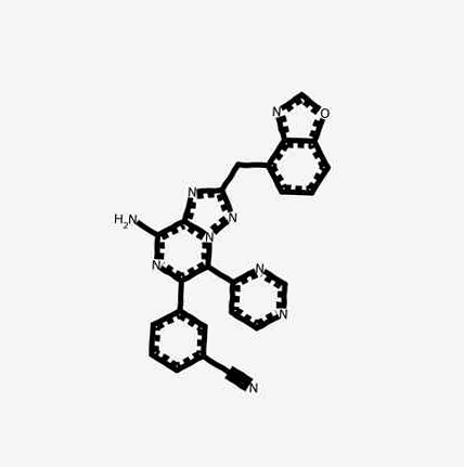 N#Cc1cccc(-c2nc(N)c3nc(Cc4cccc5ocnc45)nn3c2-c2ccncn2)c1